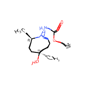 CC(C)(C)OC(N)=O.C[C@@H]1C[C@](C)(O)CN1